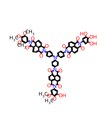 COc1cc(N2C(=O)c3ccc4c5c(ccc(c35)C2=O)C(=O)N(c2ccc(N(c3ccc(N5C(=O)c6ccc7c8c(ccc(c68)C5=O)C(=O)N(c5cc(O)c(O)c(O)c5)C7=O)cc3)c3ccc(N5C(=O)c6ccc7c8c(ccc(c68)C5=O)C(=O)N(c5cc(OC)c(OC)c(OC)c5)C7=O)cc3)cc2)C4=O)cc(O)c1OC